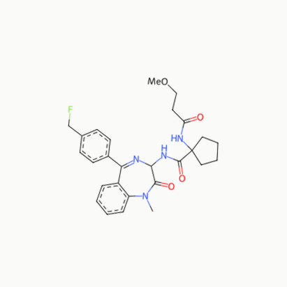 COCCC(=O)NC1(C(=O)NC2N=C(c3ccc(CF)cc3)c3ccccc3N(C)C2=O)CCCC1